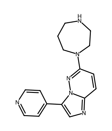 c1cc(-c2cnc3ccc(N4CCCNCC4)nn23)ccn1